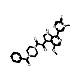 COc1cnc(-c2cn(C)c(=O)cn2)c2c1C(C(=O)C(=O)N1CCN(C(=O)c3ccccc3)CC1)CN2